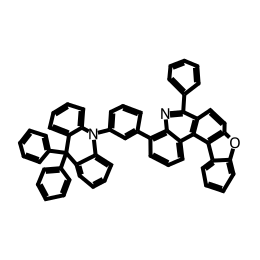 c1ccc(-c2nc3c(-c4cccc(N5c6ccccc6C(c6ccccc6)(c6ccccc6)c6ccccc65)c4)cccc3c3c2ccc2oc4ccccc4c23)cc1